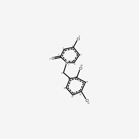 O=c1cc(Cl)ccn1Cc1ccc(Cl)cc1Cl